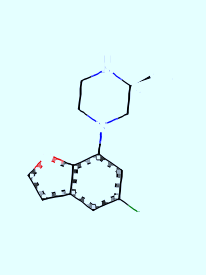 C[C@H]1CN(c2cc(F)cc3ccoc23)CCN1.Cl